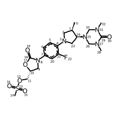 C[C@@H]1CN(c2ccc(N3C[C@H](COS(C)(=O)=O)OC3=O)cc2F)C[C@@H]1N1CN(C)C(=O)N(C)C1